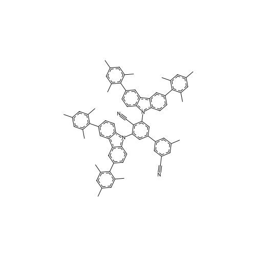 Cc1cc(C#N)cc(-c2cc(-n3c4ccc(-c5c(C)cc(C)cc5C)cc4c4cc(-c5c(C)cc(C)cc5C)ccc43)c(C#N)c(-n3c4ccc(-c5c(C)cc(C)cc5C)cc4c4cc(-c5c(C)cc(C)cc5C)ccc43)c2)c1